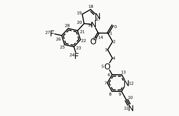 C=C(CCCOc1ccc(C#N)nc1)C(=O)N1N=CCC1c1cc(F)cc(F)c1